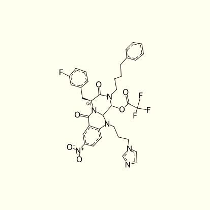 O=C1[C@H](Cc2cccc(F)c2)N2C(=O)c3cc([N+](=O)[O-])ccc3N(CCCn3ccnc3)C2C(OC(=O)C(F)(F)F)N1CCCCc1ccccc1